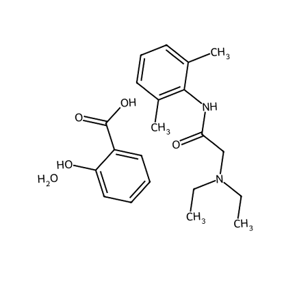 CCN(CC)CC(=O)Nc1c(C)cccc1C.O.O=C(O)c1ccccc1O